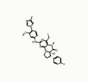 CCc1nc(Nc2ccc(-n3cnc(C)c3)c(OC)c2)nc2c1N(C)C(=O)[C@H]1[C@H](c3ccc(F)cc3)CCN21